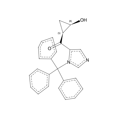 O=C(c1cncn1C(c1ccccc1)(c1ccccc1)c1ccccc1)[C@H]1C[C@H]1O